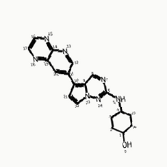 OC1CCC(Nc2ncc3c(-c4cnc5nccnc5c4)ccn3n2)CC1